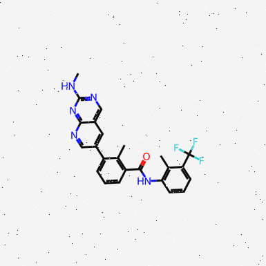 CNc1ncc2cc(-c3cccc(C(=O)Nc4cccc(C(F)(F)F)c4C)c3C)cnc2n1